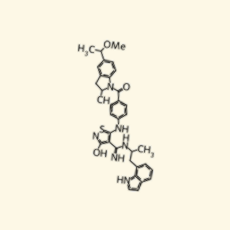 COC(C)c1ccc2c(c1)CC(C)N2C(=O)c1ccc(Nc2snc(O)c2C(=N)NC(C)Cc2cccc3cc[nH]c23)cc1